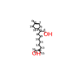 CC1=CCC(C(CO)CCCCCCC(C)CO)CC1